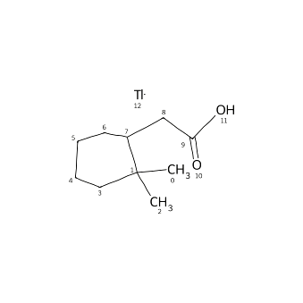 CC1(C)CCCCC1CC(=O)O.[Tl]